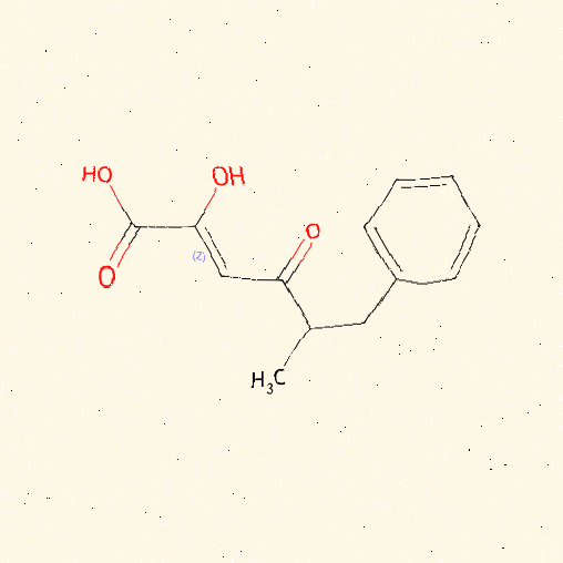 CC(Cc1ccccc1)C(=O)/C=C(\O)C(=O)O